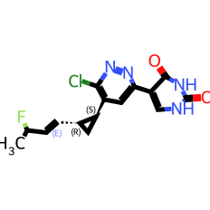 CC(F)/C=C/[C@H]1C[C@@H]1c1cc(-c2c[nH]c(=O)[nH]c2=O)nnc1Cl